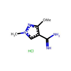 COc1nn(C)cc1C(=N)N.Cl